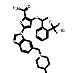 CC(Oc1cc(-n2cnc3ccc(CN4CCC(N)CC4)cc32)sc1C(N)=O)c1ccccc1C(F)(F)F.Cl